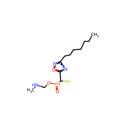 CCCCCCCc1noc(C(S)[PH](=O)OCNC)n1